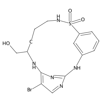 O=S1(=O)NCCCC(CO)Nc2nc(ncc2Br)Nc2cccc1c2